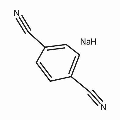 N#Cc1ccc(C#N)cc1.[NaH]